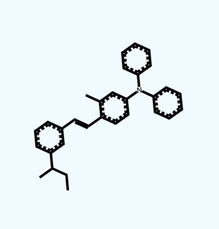 CCC(C)c1cccc(C=Cc2ccc(N(c3ccccc3)c3ccccc3)cc2C)c1